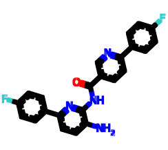 Nc1ccc(-c2ccc(F)cc2)nc1NC(=O)c1ccc(-c2ccc(F)cc2)nc1